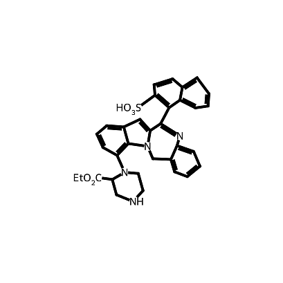 CCOC(=O)C1CNCCN1c1cccc2cc3n(c12)Cc1ccccc1N=C3c1c(S(=O)(=O)O)ccc2ccccc12